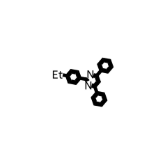 CCc1ccc(-c2nc(-c3ccccc3)cc(-c3ccccc3)n2)cc1